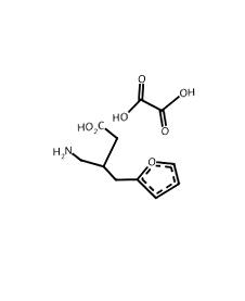 NCC(CC(=O)O)Cc1ccco1.O=C(O)C(=O)O